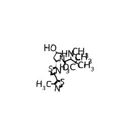 CN[C@H](C(=O)N1C[C@H](O)C[C@H]1c1nc(-c2scnc2C)cs1)C(C)(C)C